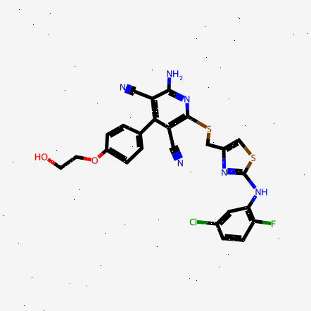 N#Cc1c(N)nc(SCc2csc(Nc3cc(Cl)ccc3F)n2)c(C#N)c1-c1ccc(OCCO)cc1